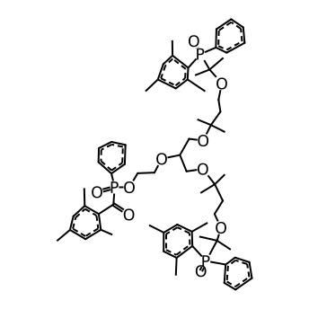 Cc1cc(C)c(C(=O)P(=O)(OCCOC(COC(C)(C)CCOC(C)(C)P(=O)(c2ccccc2)c2c(C)cc(C)cc2C)COC(C)(C)CCOC(C)(C)P(=O)(c2ccccc2)c2c(C)cc(C)cc2C)c2ccccc2)c(C)c1